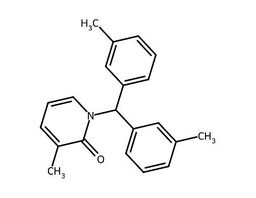 Cc1cccc(C(c2cccc(C)c2)n2cccc(C)c2=O)c1